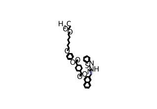 C=CC(=O)OCCCCCCOc1ccc(OC(=O)C2CCC(C(=O)Oc3cc4ccccc4cc3/C=N/Nc3nc4ccccc4s3)CC2)cc1